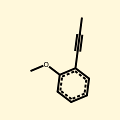 CC#Cc1ccccc1OC